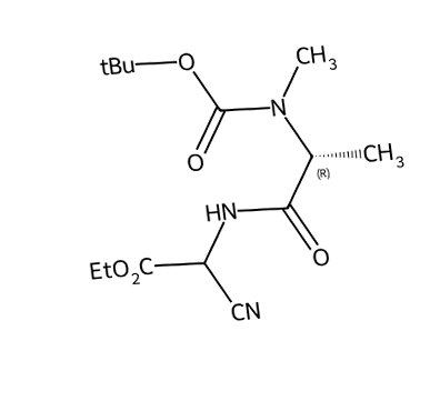 CCOC(=O)C(C#N)NC(=O)[C@@H](C)N(C)C(=O)OC(C)(C)C